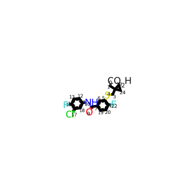 O=C(O)CC1(CSc2cc(C(=O)Nc3ccc(F)c(Cl)c3)ccc2F)CC1